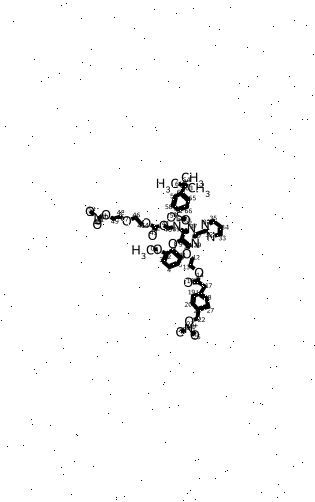 COc1ccccc1Oc1c(OCCOC(=O)Cc2ccc(CO[N+](=O)[O-])cc2)nc(-c2ncccn2)nc1N(COC(=O)OCCOCCO[N+](=O)[O-])S(=O)(=O)c1ccc(C(C)(C)C)cc1